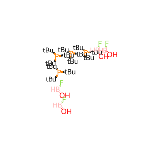 CC(C)(C)P(C(C)(C)C)C(C)(C)C.CC(C)(C)P(C(C)(C)C)C(C)(C)C.CC(C)(C)P(C(C)(C)C)C(C)(C)C.CC(C)(C)P(C(C)(C)C)C(C)(C)C.OBF.OBF.OBF.OBF